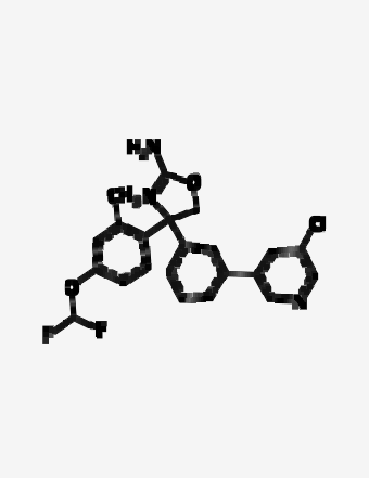 Cc1cc(OC(F)F)ccc1C1(c2cccc(-c3cncc(Cl)c3)c2)COC(N)=N1